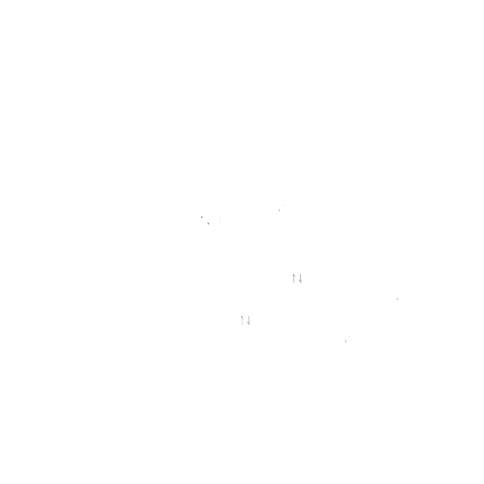 CCOC(=O)Cn1c(SC)nc2c(c1=O)N[C@@H](c1ccc(Cl)cc1)CC2